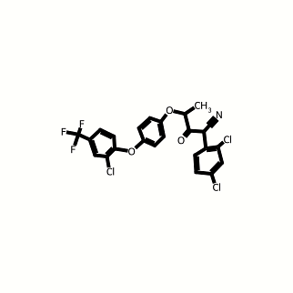 CC(Oc1ccc(Oc2ccc(C(F)(F)F)cc2Cl)cc1)C(=O)C(C#N)c1ccc(Cl)cc1Cl